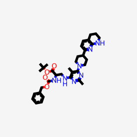 Cc1nc(NCC(NC(=O)OCc2ccccc2)C(=O)OC(C)(C)C)c(C)c(N2CCC(c3ccc4c(n3)NCCC4)CC2)n1